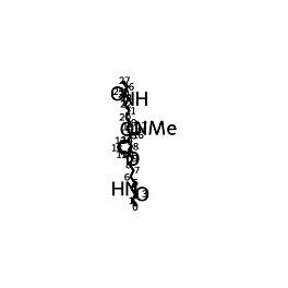 C=CC(=O)NCCCCOc1cccc(C(CNC)OCCCCNC(=O)C=C)c1